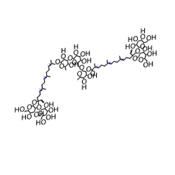 C=CC(C)(CC/C=C(\C)CC/C=C(\C)CC/C=C(/C)COC1OC(C)C(O)C(OC2OC(COC3OC(C)C(O)C(O)C3OC(=O)/C(C)=C/CC/C(C)=C/CC/C(C)=C/CCC(C)(C=C)OC3OC(CO)C(O)C(O)C3OC3OC(CO)C(O)C(O)C3O)C(O)C(O)C2O)C1O)OC1OC(CO)C(O)C(O)C1OC1OC(CO)C(O)C(O)C1O